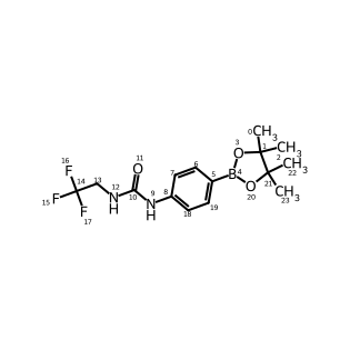 CC1(C)OB(c2ccc(NC(=O)NCC(F)(F)F)cc2)OC1(C)C